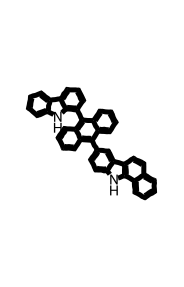 c1ccc2c(c1)ccc1c3cc(-c4c5ccccc5c(-c5cccc6c5[nH]c5ccccc56)c5ccccc45)ccc3[nH]c21